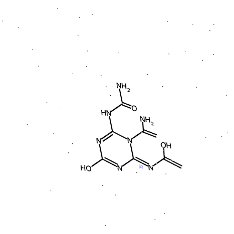 C=C(O)/N=c1/nc(O)nc(NC(N)=O)n1C(=C)N